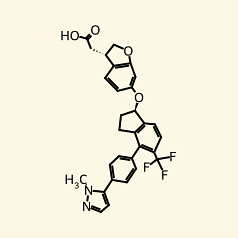 Cn1nccc1-c1ccc(-c2c(C(F)(F)F)ccc3c2CC[C@H]3Oc2ccc3c(c2)OC[C@H]3CC(=O)O)cc1